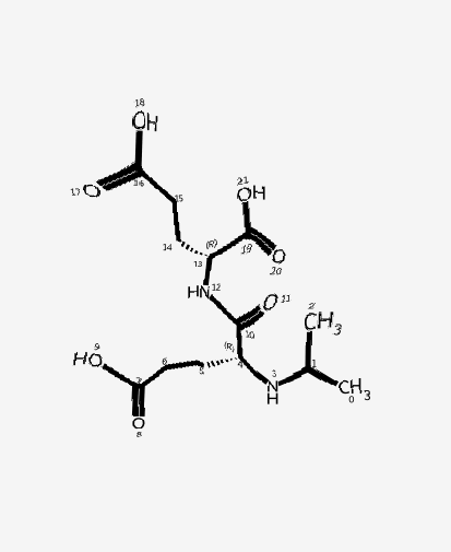 CC(C)N[C@H](CCC(=O)O)C(=O)N[C@H](CCC(=O)O)C(=O)O